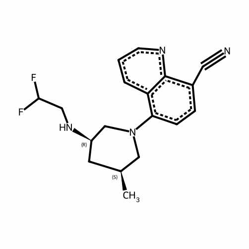 C[C@H]1C[C@@H](NCC(F)F)CN(c2ccc(C#N)c3ncccc23)C1